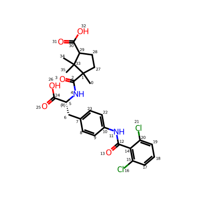 CC1(C(=O)N[C@H](Cc2ccc(NC(=O)c3c(Cl)cccc3Cl)cc2)C(=O)O)CCC(C(=O)O)C1(C)C